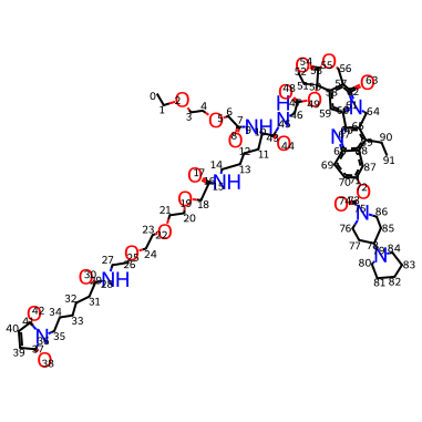 CCOCCOCC(=O)NC(CCCCNC(=O)COCCOCCOCCNC(=O)CCCCCN1C(=O)C=CC1=O)C(=O)NCC(=O)O[C@]1(CC)C(=O)OCc2c1cc1n(c2=O)Cc2c-1nc1ccc(OC(=O)N3CCC(N4CCCCC4)CC3)cc1c2CC